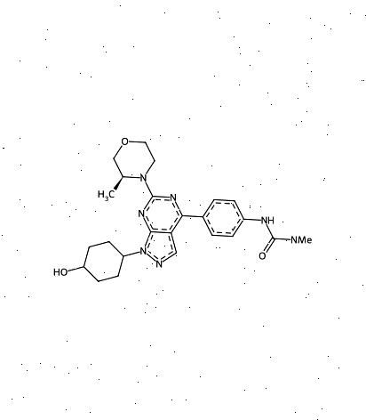 CNC(=O)Nc1ccc(-c2nc(N3CCOC[C@@H]3C)nc3c2cnn3C2CCC(O)CC2)cc1